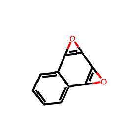 c1ccc2c(c1)c1oc1c1oc21